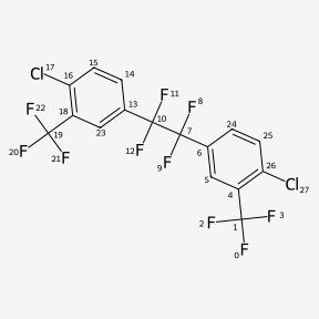 FC(F)(F)c1cc(C(F)(F)C(F)(F)c2ccc(Cl)c(C(F)(F)F)c2)ccc1Cl